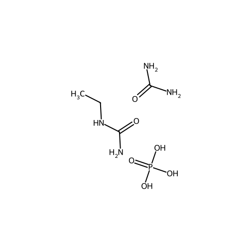 CCNC(N)=O.NC(N)=O.O=P(O)(O)O